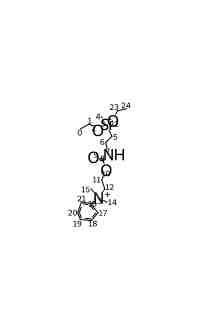 CCO[Si](C)(CCNC(=O)OCC[N+](C)(C)c1ccccc1)OCC